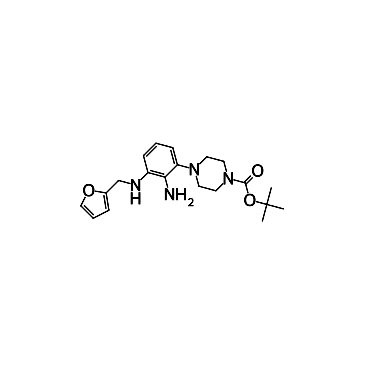 CC(C)(C)OC(=O)N1CCN(c2cccc(NCc3ccco3)c2N)CC1